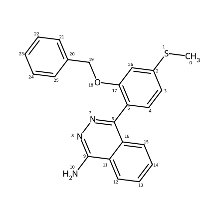 CSc1ccc(-c2nnc(N)c3ccccc23)c(OCc2ccccc2)c1